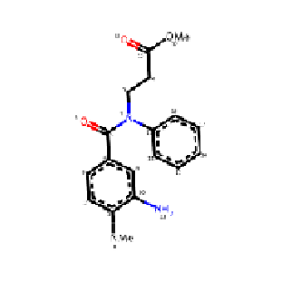 CNc1ccc(C(=O)N(CCC(=O)OC)c2ccccc2)cc1N